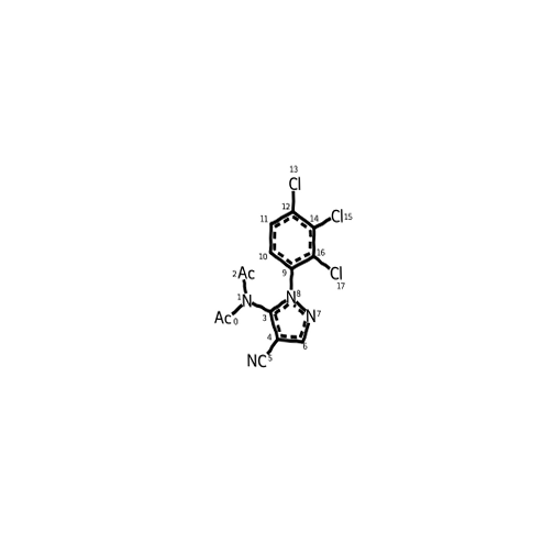 CC(=O)N(C(C)=O)c1c(C#N)cnn1-c1ccc(Cl)c(Cl)c1Cl